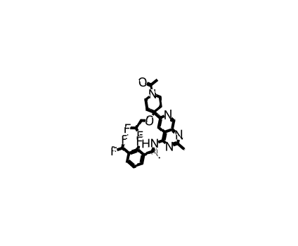 CC(=O)N1CCC(OCC(F)F)(c2cc3c(N[C@H](C)c4cccc(C(F)F)c4F)nc(C)nc3cn2)CC1